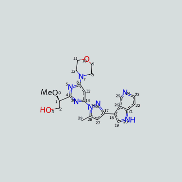 CO[C@H](CO)c1nc(N2CCOCC2)cc(-n2nc(-c3c[nH]c4ccncc34)cc2C)n1